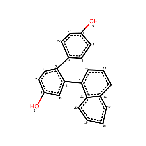 Oc1ccc(-c2ccc(O)cc2-c2cccc3ccccc23)cc1